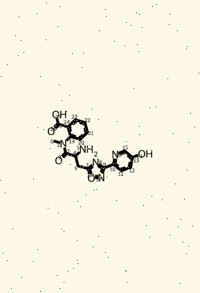 CN(C(=O)C(N)Cc1nc(-c2ccc(O)cn2)no1)c1ccccc1C(=O)O